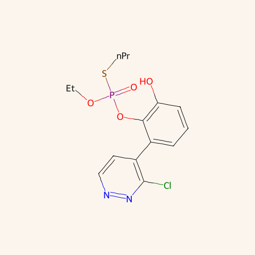 CCCSP(=O)(OCC)Oc1c(O)cccc1-c1ccnnc1Cl